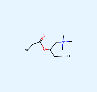 CC(=O)CC(=O)OC(CC(=O)[O-])C[N+](C)(C)C